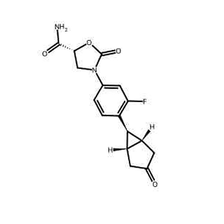 NC(=O)[C@H]1CN(c2ccc([C@H]3[C@@H]4CC(=O)C[C@@H]43)c(F)c2)C(=O)O1